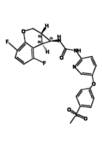 CS(=O)(=O)c1ccc(Oc2ccc(NC(=O)N[C@@H]3[C@H]4COc5c(F)ccc(F)c5[C@@H]43)nc2)cc1